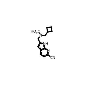 N#Cc1ccc2cc(CN(CC3CCC3)C(=O)O)[nH]c2n1